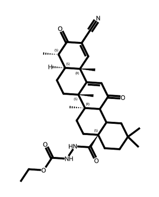 CCOC(=O)NNC(=O)[C@]12CCC(C)(C)CC1C1C(=O)C=C3[C@@]4(C)C=C(C#N)C(=O)[C@@H](C)[C@@H]4CC[C@@]3(C)[C@]1(C)CC2